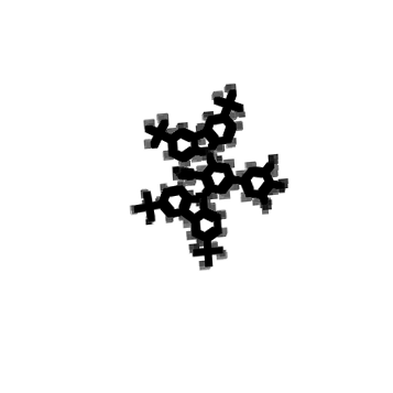 CC(C)(C)c1ccc2c(c1)c1cc(C(C)(C)C)ccc1n2-c1cc(-c2cc(F)c(F)c(F)c2)cc(-n2c3ccc(C(C)(C)C)cc3c3cc(C(C)(C)C)ccc32)c1C#N